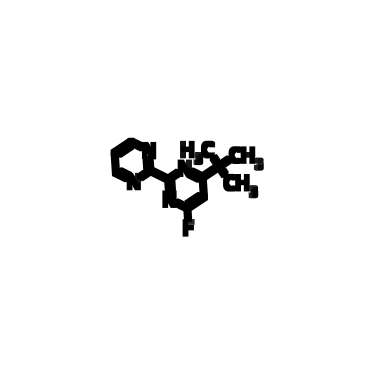 CC(C)(C)c1cc(F)nc(-c2ncccn2)n1